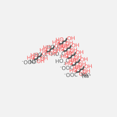 O=C(O)[C@H](O)[C@@H](O)[C@H](O)[C@H](O)CO.O=C(O)[C@H](O)[C@@H](O)[C@H](O)[C@H](O)CO.O=C(O)[C@H](O)[C@@H](O)[C@H](O)[C@H](O)CO.O=C(O)[C@H](O)[C@@H](O)[C@H](O)[C@H](O)CO.O=C([O-])[C@H](O)[C@@H](O)[C@H](O)[C@H](O)CO.O=C([O-])[C@H](O)[C@@H](O)[C@H](O)[C@H](O)CO.O=C([O-])[C@H](O)[C@@H](O)[C@H](O)[C@H](O)CO.[Na+].[Na+].[Na+]